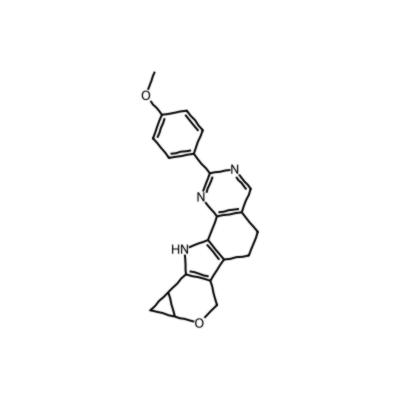 COc1ccc(-c2ncc3c(n2)-c2[nH]c4c(c2CC3)COC2CC42)cc1